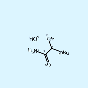 CCCCC(CCC)C(N)=O.Cl